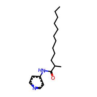 CCCCCCCCCCC(C)C(=O)Nc1ccncc1